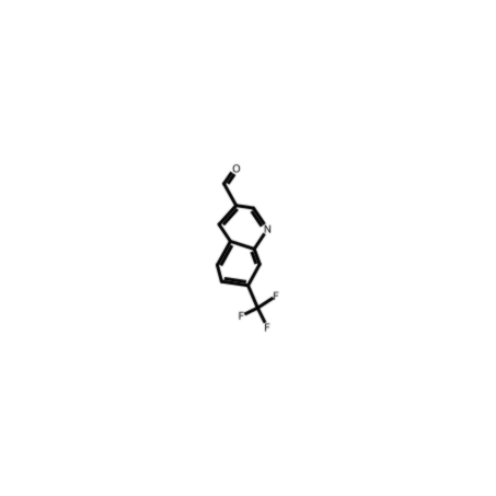 O=Cc1cnc2cc(C(F)(F)F)ccc2c1